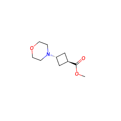 COC(=O)[C@H]1C[C@H](N2CCOCC2)C1